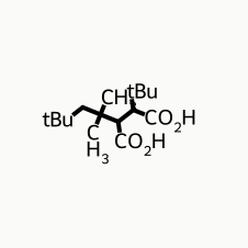 CC(C)(C)CC(C)(C)C(C(=O)O)C(C(=O)O)C(C)(C)C